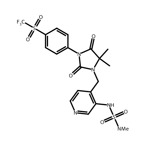 CNS(=O)(=O)Nc1cnccc1CN1C(=O)N(c2ccc(S(=O)(=O)C(F)(F)F)cc2)C(=O)C1(C)C